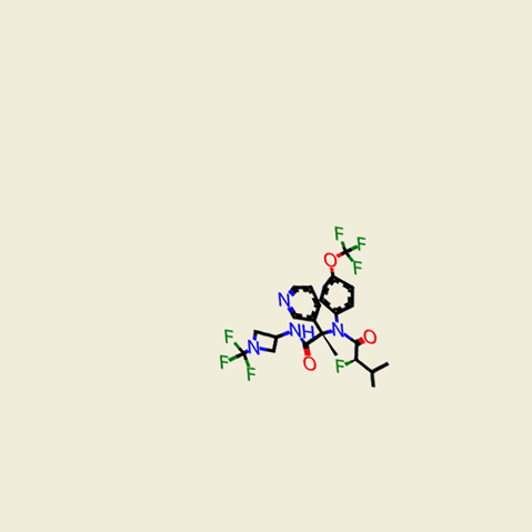 CC(C)[C@@H](F)C(=O)N(c1ccc(OC(F)(F)F)cc1)[C@](C)(C(=O)NC1CN(C(F)(F)F)C1)c1cccnc1